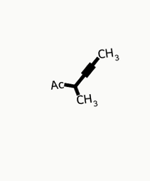 CC#CC(C)C(C)=O